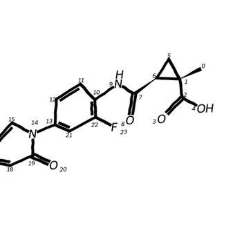 C[C@]1(C(=O)O)C[C@@H]1C(=O)Nc1ccc(-n2ccccc2=O)cc1F